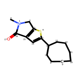 CN1Cc2sc(C3CCCCCCC3)cc2C1=O